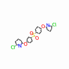 O=S(=O)(c1ccc(Oc2cccc(Cl)n2)cc1)c1ccc(Oc2cccc(Cl)n2)cc1